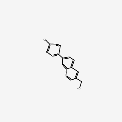 OCc1ccc2cc(-c3ccc(Cl)nn3)ccc2c1